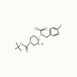 CC(C)(C)OC(=O)N1CC[C@H](N(Cc2ccc(F)cc2)C(=O)Cl)[C@H](F)C1